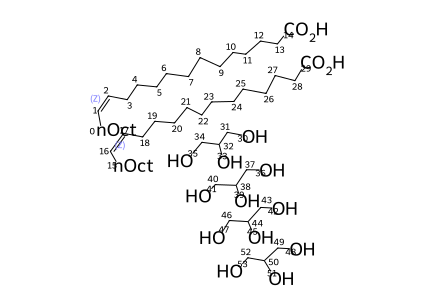 CCCCCCCC/C=C\CCCCCCCCCCCC(=O)O.CCCCCCCC/C=C\CCCCCCCCCCCC(=O)O.OCC(O)CO.OCC(O)CO.OCC(O)CO.OCC(O)CO